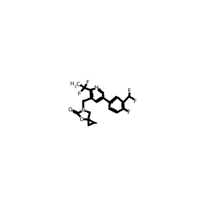 CC(F)(F)c1ncc(-c2ccc(F)c(C(F)F)c2)cc1CN1CC2(CC2)OC1=O